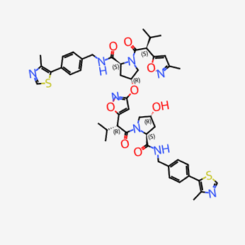 Cc1cc([C@@H](C(=O)N2C[C@H](Oc3cc([C@H](C(=O)N4C[C@H](O)C[C@H]4C(=O)NCc4ccc(-c5scnc5C)cc4)C(C)C)on3)C[C@H]2C(=O)NCc2ccc(-c3scnc3C)cc2)C(C)C)on1